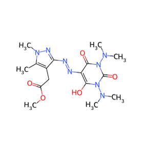 COC(=O)Cc1c(N=Nc2c(O)n(N(C)C)c(=O)n(N(C)C)c2=O)nn(C)c1C